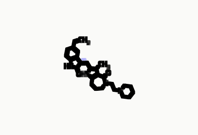 C=Cc1ccc2c(c1)/C(=C/c1[nH]c3c(c1C)C(=O)N(CCN1CCCCC1)CCC3)C(=O)N2